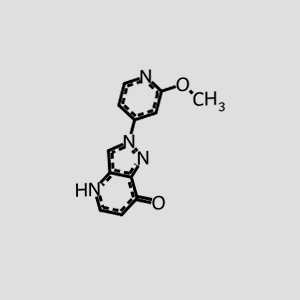 COc1cc(-n2cc3[nH]ccc(=O)c3n2)ccn1